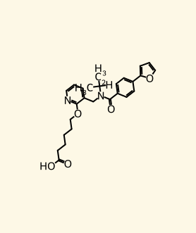 [2H]C(C)(C)N(Cc1cccnc1OCCCCCC(=O)O)C(=O)c1ccc(-c2ccco2)cc1